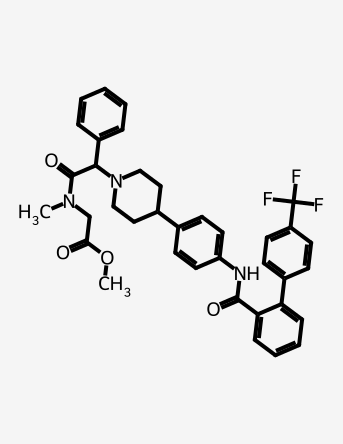 COC(=O)CN(C)C(=O)C(c1ccccc1)N1CCC(c2ccc(NC(=O)c3ccccc3-c3ccc(C(F)(F)F)cc3)cc2)CC1